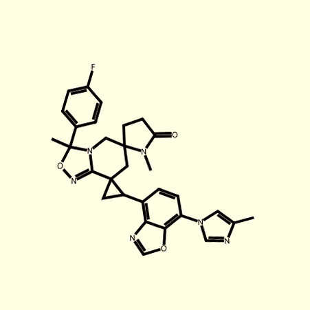 Cc1cn(-c2ccc(C3CC34CC3(CCC(=O)N3C)CN3C4=NOC3(C)c3ccc(F)cc3)c3ncoc23)cn1